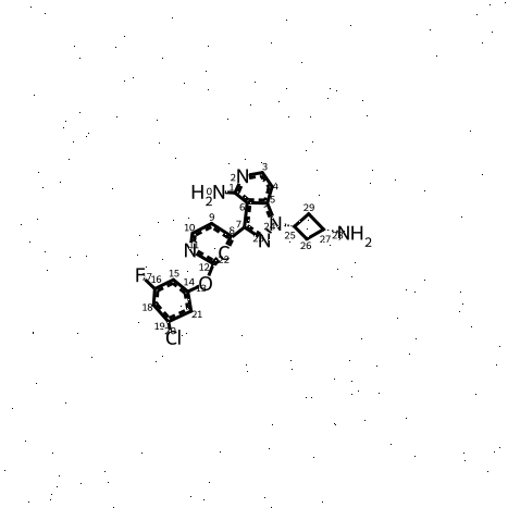 Nc1nccc2c1c(-c1ccnc(Oc3cc(F)cc(Cl)c3)c1)nn2[C@H]1C[C@@H](N)C1